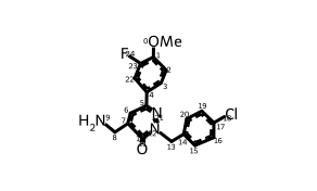 COc1ccc(-c2cc(CN)c(=O)n(Cc3ccc(Cl)cc3)n2)cc1F